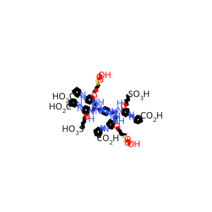 O=C(O)c1cccc(N=Nc2ccc(Nc3nc(Nc4ccc(N=Nc5cccc(C(=O)O)c5)cc4OCCCCS(=O)(=O)O)nc(N4CCN(c5nc(Nc6ccc(N=Nc7cccc(C(=O)O)c7)cc6OCCCCSOOO)nc(Nc6ccc(N=Nc7cccc(C(=O)O)c7)cc6OCCCCS(=O)(=O)O)n5)CC4)n3)c(OCCCCSOOO)c2)c1